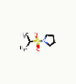 CC(C)S(=O)(=O)N1C[CH]CC1